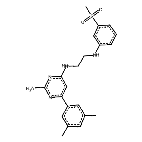 Cc1cc(C)cc(-c2cc(NCCNc3cccc(S(C)(=O)=O)c3)nc(N)n2)c1